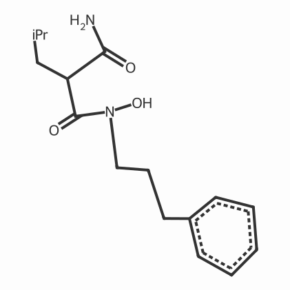 CC(C)CC(C(N)=O)C(=O)N(O)CCCc1ccccc1